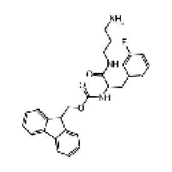 NCCCNC(=O)C(Cc1cccc(F)c1)NC(=O)OCC1c2ccccc2-c2ccccc21